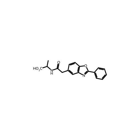 CC(NC(=O)Cc1ccc2oc(-c3ccccc3)nc2c1)C(=O)O